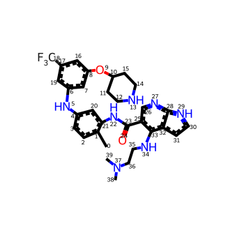 Cc1ccc(Nc2cc(OC3CCNCC3)cc(C(F)(F)F)c2)cc1NC(=O)c1cnc2[nH]ccc2c1NCCN(C)C